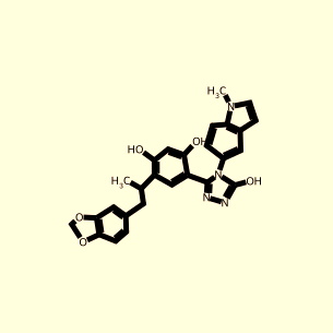 CC(Cc1ccc2c(c1)OCO2)c1cc(-c2nnc(O)n2-c2ccc3c(ccn3C)c2)c(O)cc1O